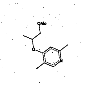 COCC(C)Oc1cc(C)ncc1C